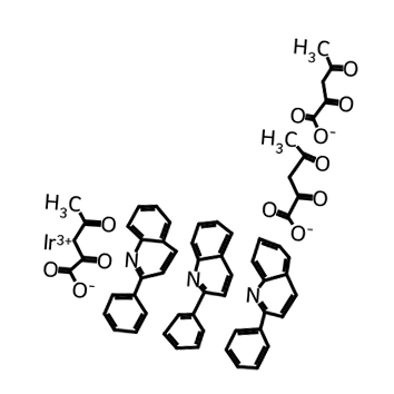 CC(=O)CC(=O)C(=O)[O-].CC(=O)CC(=O)C(=O)[O-].CC(=O)CC(=O)C(=O)[O-].[Ir+3].c1ccc(-c2ccc3ccccc3n2)cc1.c1ccc(-c2ccc3ccccc3n2)cc1.c1ccc(-c2ccc3ccccc3n2)cc1